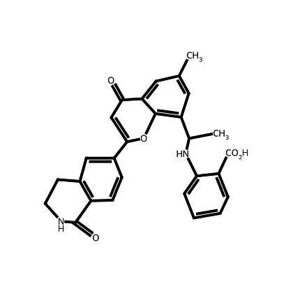 Cc1cc(C(C)Nc2ccccc2C(=O)O)c2oc(-c3ccc4c(c3)CCNC4=O)cc(=O)c2c1